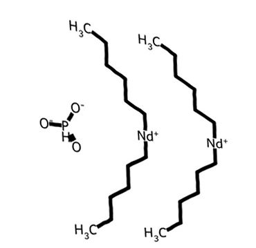 CCCCC[CH2][Nd+][CH2]CCCCC.CCCCC[CH2][Nd+][CH2]CCCCC.O=[PH]([O-])[O-]